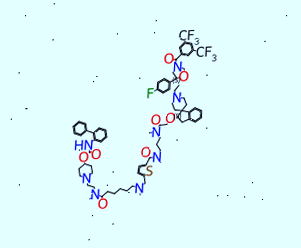 CN(CCCCCC(=O)N(C)CCN1CCC(OC(=O)Nc2ccccc2-c2ccccc2)CC1)Cc1ccc(C(=O)N(C)CCCN(C)C(=O)CO[C@H]2Cc3ccccc3C23CCN(CC[C@]2(c4ccc(F)cc4)CN(C(=O)c4cc(C(F)(F)F)cc(C(F)(F)F)c4)CO2)CC3)s1